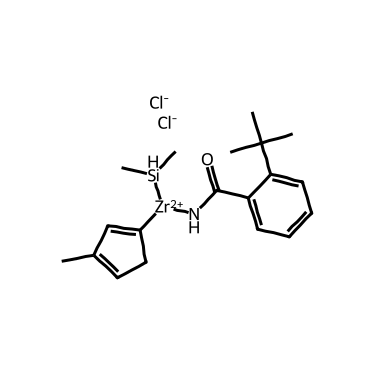 CC1=CC[C]([Zr+2]([NH]C(=O)c2ccccc2C(C)(C)C)[SiH](C)C)=C1.[Cl-].[Cl-]